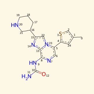 Cc1csc(-c2cnc(NC(N)=O)c3nc(C4CCCNC4)cn23)c1